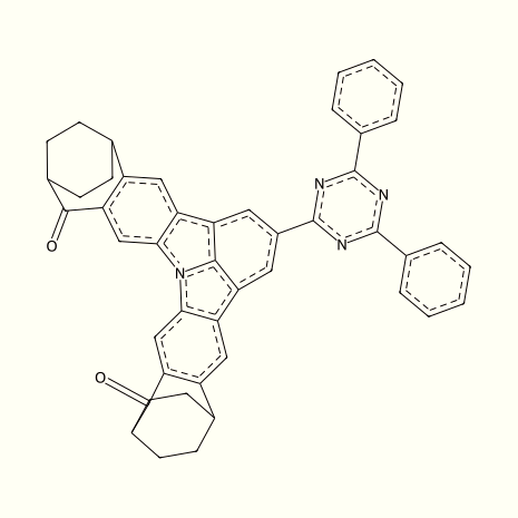 O=C1c2cc3c(cc2C2CCC1CC2)c1cc(-c2nc(-c4ccccc4)nc(-c4ccccc4)n2)cc2c4cc5c(cc4n3c12)C(=O)C1CCC5CC1